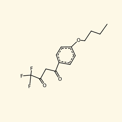 CCCCOc1ccc(C(=O)CC(=O)C(F)(F)F)cc1